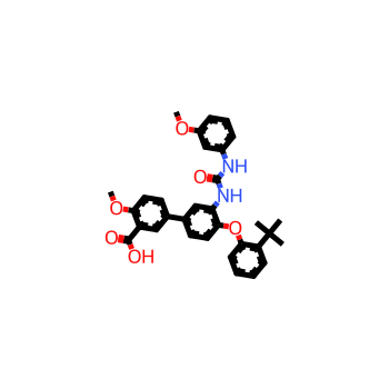 COc1cccc(NC(=O)Nc2cc(-c3ccc(OC)c(C(=O)O)c3)ccc2Oc2ccccc2C(C)(C)C)c1